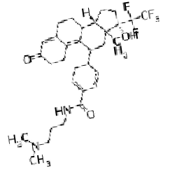 CN(C)CCCNC(=O)C1=CCC(C2CC3(C)[C@@H](CC[C@@]3(O)C(F)(F)C(F)(F)F)C3CCC4=CC(=O)CCC4=C23)C=C1